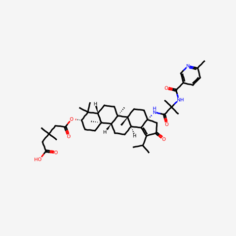 Cc1ccc(C(=O)NC(C)(C)C(=O)N[C@@]23CC[C@]4(C)[C@H](CC[C@@H]5[C@@]6(C)CC[C@H](OC(=O)CC(C)(C)CC(=O)O)C(C)(C)[C@@H]6CC[C@]54C)C2=C(C(C)C)C(=O)C3)cn1